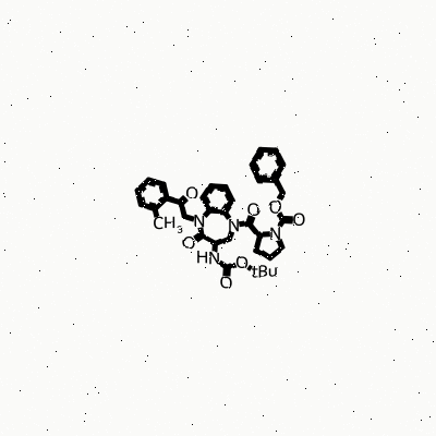 Cc1ccccc1C(=O)CN1C(=O)C(NC(=O)OC(C)(C)C)CN(C(=O)C2CCCN2C(=O)OCc2ccccc2)c2ccccc21